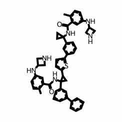 Cc1ccc(NC2CNC2)cc1C(=O)NC1(c2cccc(-c3ccc(C4CC4(NC(=O)c4cc(NC5CNC5)ccc4C)c4cccc(-c5ccccc5)c4)s3)c2)CC1